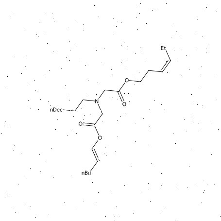 CC/C=C\CCOC(=O)CN(CCCCCCCCCCCC)CC(=O)OC=CCCCC